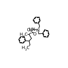 CCC(CC(C)S(=O)(=O)NN(Cc1ccccc1)Cc1ccccc1)c1ccccc1